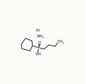 CCCCP(=O)(O)C1CCCCC1.[AlH3].[Zn]